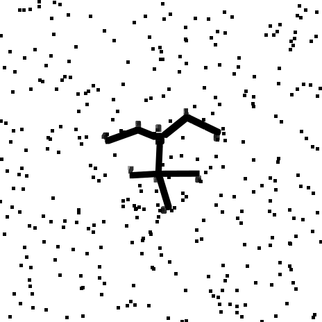 CCB(CC)C(C)(C)C